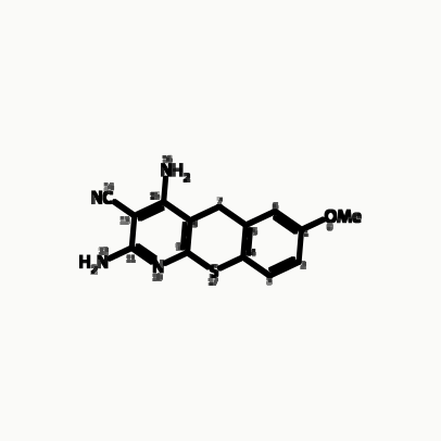 COc1ccc2c(c1)Cc1c(nc(N)c(C#N)c1N)S2